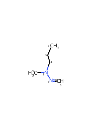 [CH]=NN(C)CCC